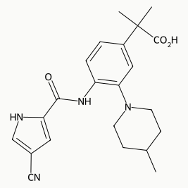 CC1CCN(c2cc(C(C)(C)C(=O)O)ccc2NC(=O)c2cc(C#N)c[nH]2)CC1